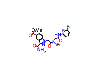 COC(=O)c1ccc2c(c1)c(C(N)=O)nn2CC(=O)N(CC(=O)Nc1cccc(Br)n1)C(C)C